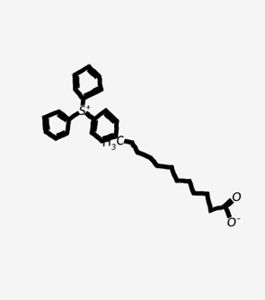 CCCCCCCCCCCC(=O)[O-].c1ccc([S+](c2ccccc2)c2ccccc2)cc1